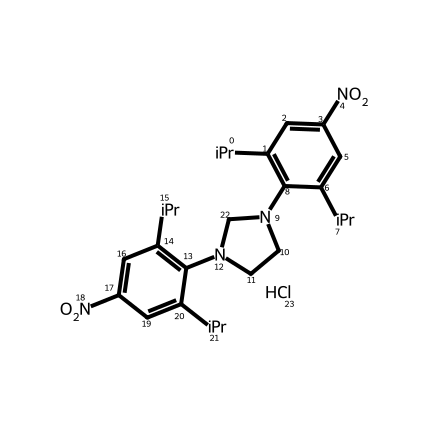 CC(C)c1cc([N+](=O)[O-])cc(C(C)C)c1N1CCN(c2c(C(C)C)cc([N+](=O)[O-])cc2C(C)C)C1.Cl